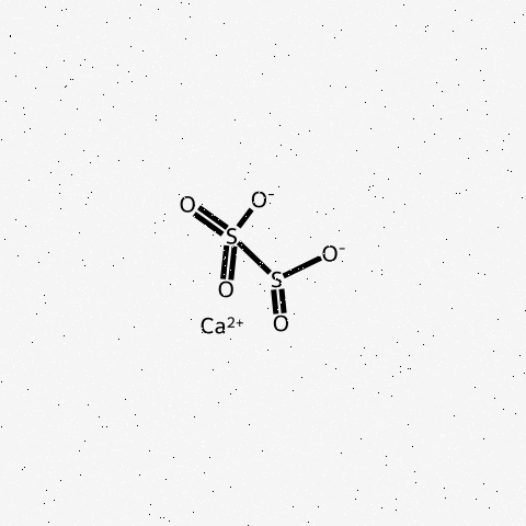 O=S([O-])S(=O)(=O)[O-].[Ca+2]